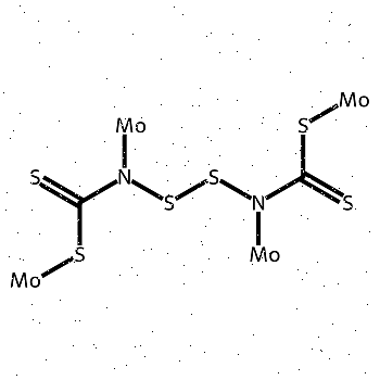 S=C([S][Mo])[N]([Mo])SS[N]([Mo])C(=S)[S][Mo]